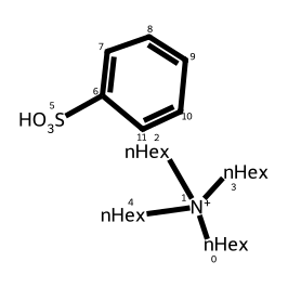 CCCCCC[N+](CCCCCC)(CCCCCC)CCCCCC.O=S(=O)(O)c1ccccc1